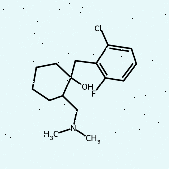 CN(C)CC1CCCCC1(O)Cc1c(F)cccc1Cl